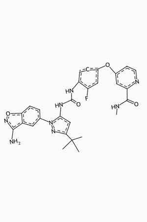 CNC(=O)c1cc(Oc2ccc(NC(=O)Nc3cc(C(C)(C)C)nn3-c3ccc4onc(N)c4c3)c(F)c2)ccn1